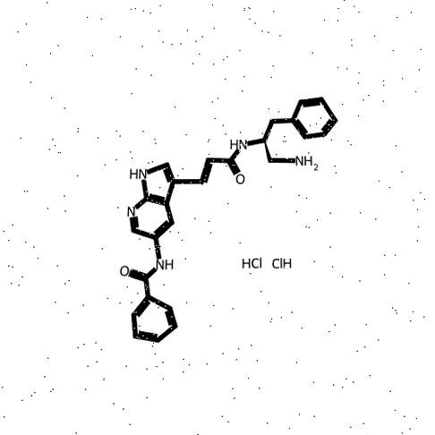 Cl.Cl.NC[C@H](Cc1ccccc1)NC(=O)C=Cc1c[nH]c2ncc(NC(=O)c3ccccc3)cc12